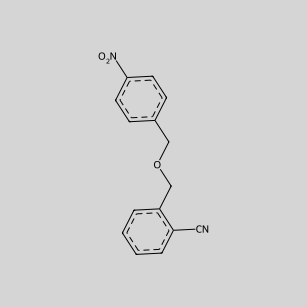 N#Cc1ccccc1COCc1ccc([N+](=O)[O-])cc1